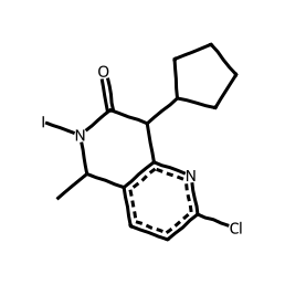 CC1c2ccc(Cl)nc2C(C2CCCC2)C(=O)N1I